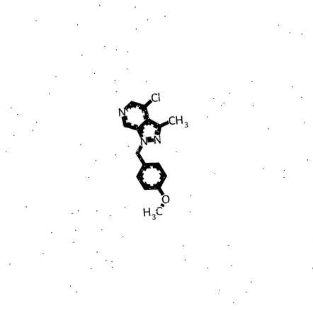 COc1ccc(Cn2nc(C)c3c(Cl)cncc32)cc1